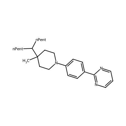 CCCCCC(CCCCC)C1(C)CCN(c2ccc(-c3ncccn3)cc2)CC1